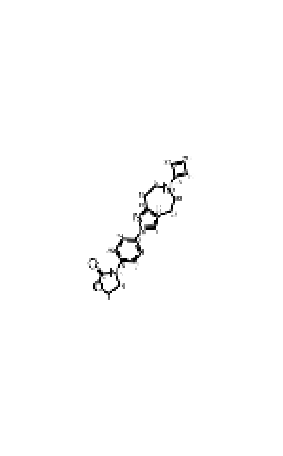 O=C1OCCN1c1ccc(-n2cc3c(n2)CCN(C2=CC=C2)CC3)cc1